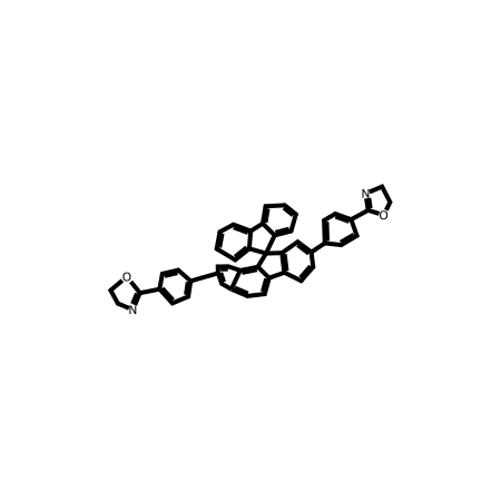 c1ccc2c(c1)-c1ccccc1C21c2cc(-c3ccc(C4=NCCO4)cc3)ccc2-c2ccc3cc(-c4ccc(C5=NCCO5)cc4)ccc3c21